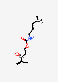 C=[C](C)[Co](=[O])[CH2]COC(=O)NCCC[SiH2]C